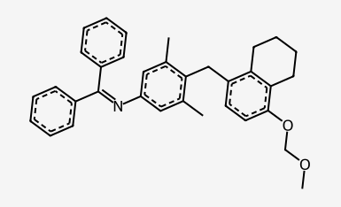 COCOc1ccc(Cc2c(C)cc(N=C(c3ccccc3)c3ccccc3)cc2C)c2c1CCCC2